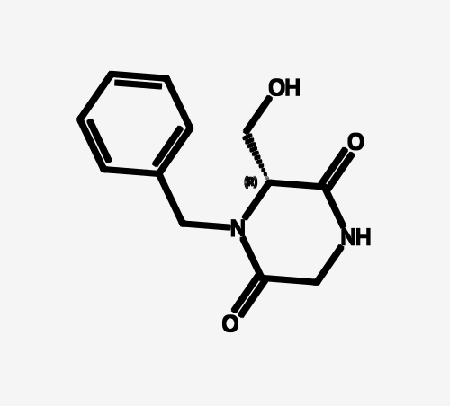 O=C1NCC(=O)N(Cc2ccccc2)[C@@H]1CO